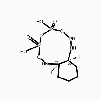 O=P1(O)ON[C@@H]2CCCC[C@@H]2NPOP(=O)(O)O1